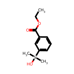 CCOC(=O)c1cccc([Si](C)(C)O)c1